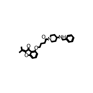 CC(C)=C1Oc2cccc(OCCCC(=O)N3CCC(NCc4ccccc4)CC3)c2C1=O